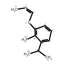 C/N=C\Sc1cccc(C(C)C)c1P